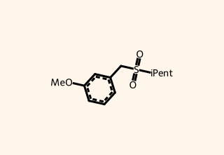 CCCC(C)S(=O)(=O)Cc1cccc(OC)c1